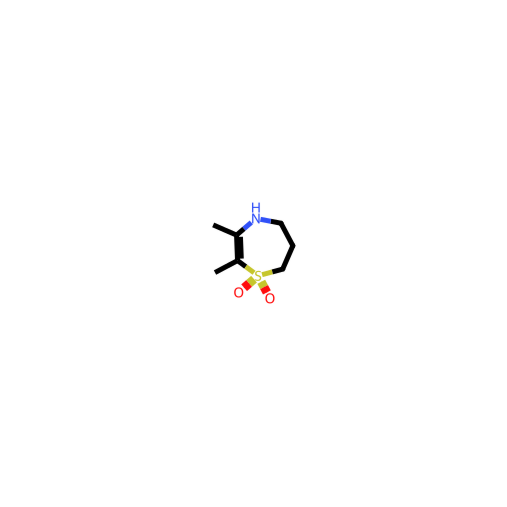 CC1=C(C)S(=O)(=O)CCCN1